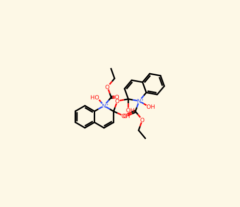 CCOC(=O)[N+]1(O)c2ccccc2C=CC1(O)OC1(O)C=Cc2ccccc2[N+]1(O)C(=O)OCC